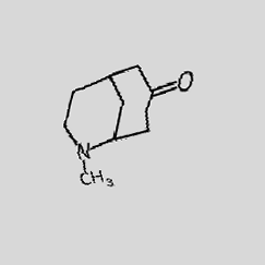 CN1CCC2CC(=O)CC1C2